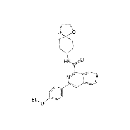 CCOc1ccc(-c2cc3ccccc3c(C(=O)NC3CCC4(CC3)OCCO4)n2)cc1